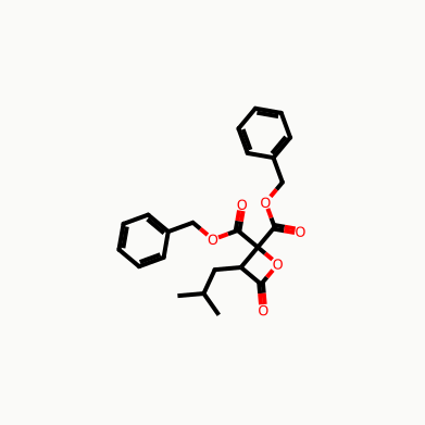 CC(C)CC1C(=O)OC1(C(=O)OCc1ccccc1)C(=O)OCc1ccccc1